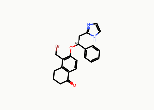 O=C1CCCc2c1ccc(O[C@@H](Cc1ncc[nH]1)c1ccccc1)c2CBr